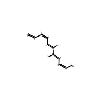 C=C\C=C/C=C(C)/C(C)=C/C=C\C